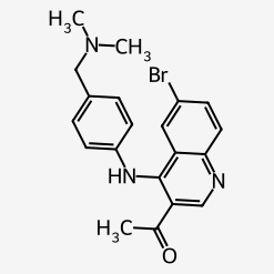 CC(=O)c1cnc2ccc(Br)cc2c1Nc1ccc(CN(C)C)cc1